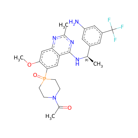 COc1cc2nc(C)nc(N[C@H](C)c3cc(N)cc(C(F)(F)F)c3)c2cc1P1(=O)CCN(C(C)=O)CC1